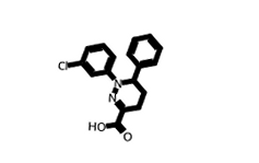 O=C(O)C1=NN(c2cccc(Cl)c2)C(c2ccccc2)CC1